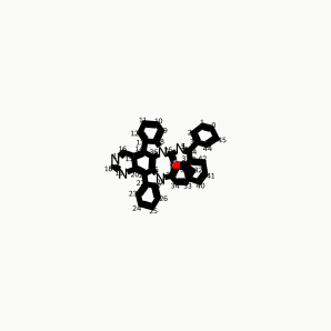 c1ccc(-c2nc(-n3c4ccccc4c4c5cncnc5c5c6ccccc6n(-c6ccccc6)c5c43)nc3ccccc23)cc1